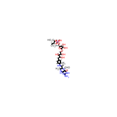 C[C@@H]1Nc2nc(N)[nH]c(=O)c2N(C=O)C1[C@@H](C)Nc1ccc(C[C@H](O)[C@H](O)[C@H](O)CO[C@H]2O[C@H](COP(=O)(O)O[C@@H](CCC(=O)O)C(=O)O)[C@@H](O)[C@H]2O)cc1